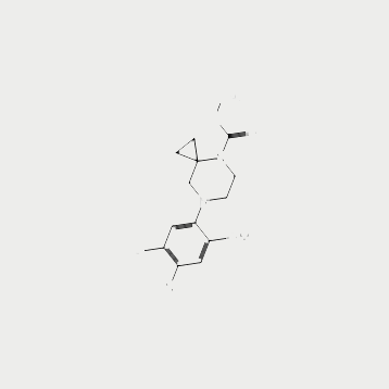 COc1cc(N)c(Br)cc1N1CCN(C(=O)OC(C)(C)C)C2(CC2)C1